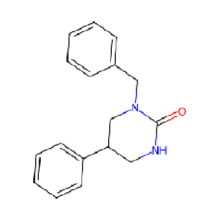 O=C1NCC(c2ccccc2)CN1Cc1ccccc1